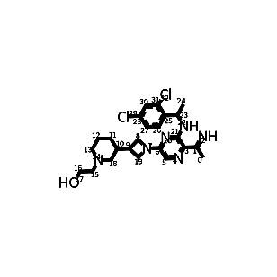 CC(=N)c1ncc(N2CC(C3CCCN(CCO)C3)C2)nc1NC(C)c1ccc(Cl)cc1Cl